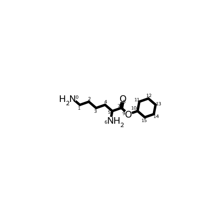 NCCCCC(N)C(=O)OC1CCCCC1